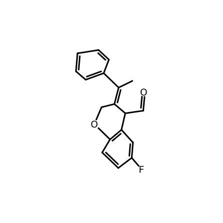 CC(=C1COc2ccc(F)cc2C1C=O)c1ccccc1